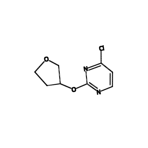 Clc1ccnc(OC2CCOC2)n1